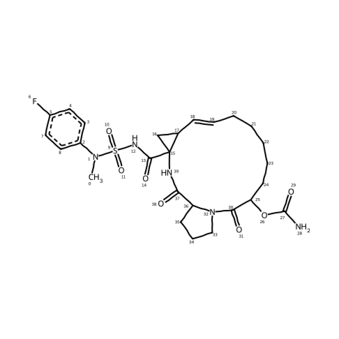 CN(c1ccc(F)cc1)S(=O)(=O)NC(=O)C12CC1/C=C/CCCCCC(OC(N)=O)C(=O)N1CCCC1C(=O)N2